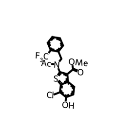 COC(=O)c1c(N(Cc2ccccc2C(F)(F)F)C(C)=O)sc2c(Cl)c(O)ccc12